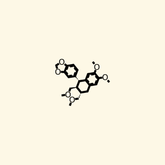 COC[C@H]1Cc2cc(OC)c(OC)cc2[C@@H](c2ccc3c(c2)OCO3)[C@@H]1COC